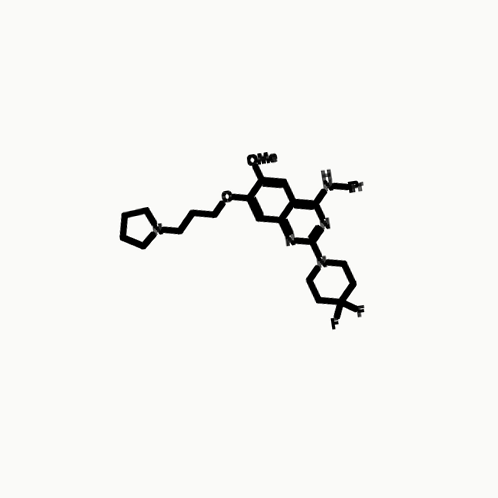 COc1cc2c(NC(C)C)nc(N3CCC(F)(F)CC3)nc2cc1OCCCN1CCCC1